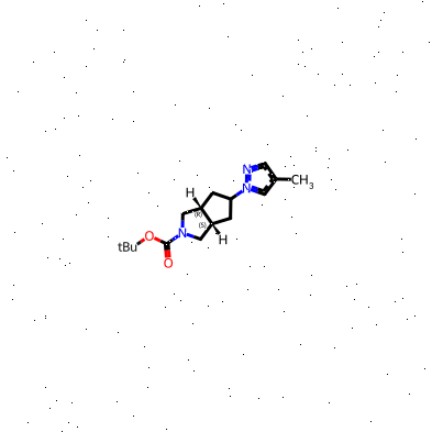 Cc1cnn(C2C[C@@H]3CN(C(=O)OC(C)(C)C)C[C@@H]3C2)c1